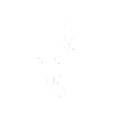 N#CC1CC(C(=O)Nc2ccccc2)CN1C(=O)Cc1cc2cc(F)c(F)cc2[nH]1